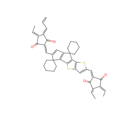 C=C/C=C1/C(=O)/C(=C\C2=CC3=C(c4sc5cc(C=C6C(=O)C(=C/C)/C(=C\C)C6=O)sc5c4C34CCCCC4)C23CCCCC3)C(=O)/C1=C/C